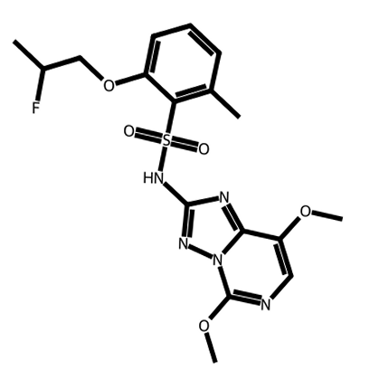 COc1cnc(OC)n2nc(NS(=O)(=O)c3c(C)cccc3OCC(C)F)nc12